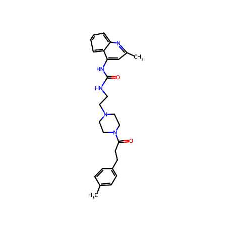 Cc1ccc(CCC(=O)N2CCN(CCNC(=O)Nc3cc(C)nc4ccccc34)CC2)cc1